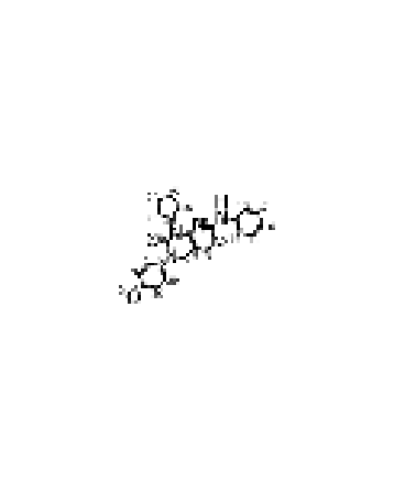 COc1ccc(N2Cc3cnc(Nc4ccccc4)nc3N(C3CCCC3)C2=O)cc1